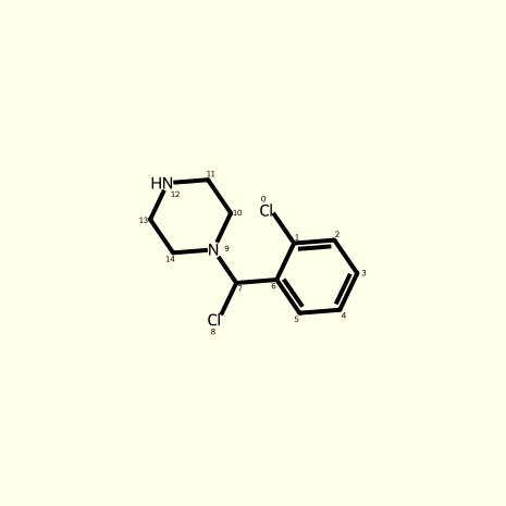 Clc1ccccc1C(Cl)N1CCNCC1